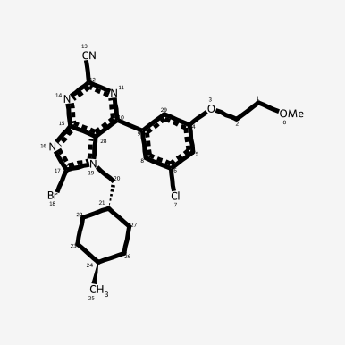 COCCOc1cc(Cl)cc(-c2nc(C#N)nc3nc(Br)n(C[C@H]4CC[C@H](C)CC4)c23)c1